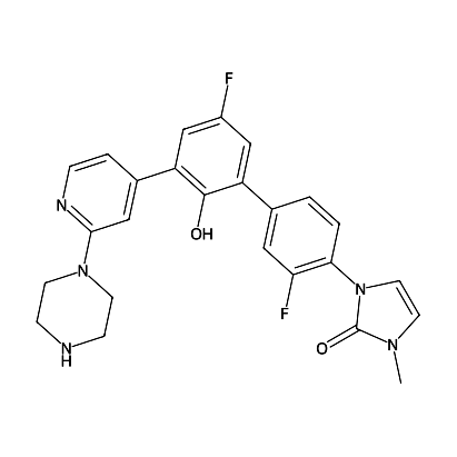 Cn1ccn(-c2ccc(-c3cc(F)cc(-c4ccnc(N5CCNCC5)c4)c3O)cc2F)c1=O